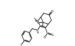 COC1(C)C2CC(=O)CC1C([N+](=O)[O-])=C(NCc1ccc(F)cc1)N2